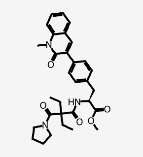 CCC(CC)(C(=O)N[C@@H](Cc1ccc(-c2cc3ccccc3n(C)c2=O)cc1)C(=O)OC)C(=O)N1CCCC1